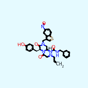 C=CCN1CC(=O)N2[C@@H](Cc3ccc(O)cc3)C(=O)N(Cc3csc4ccc(N=O)cc34)C[C@@H]2N1C(=O)NCc1ccccc1